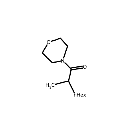 CCCCCCC(C)C(=O)N1CCOCC1